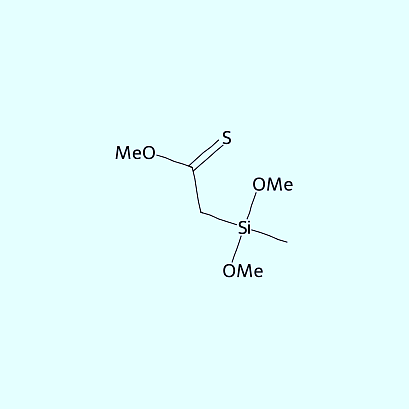 COC(=S)C[Si](C)(OC)OC